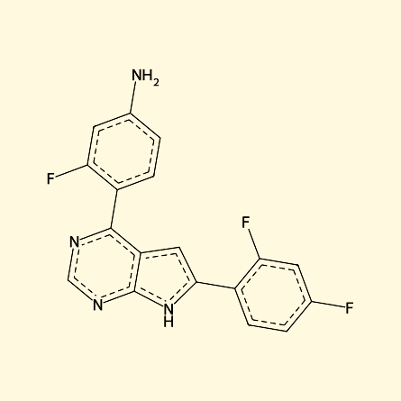 Nc1ccc(-c2ncnc3[nH]c(-c4ccc(F)cc4F)cc23)c(F)c1